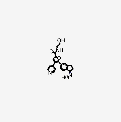 O=C(NCCO)c1cc(-c2ccncc2)c(-c2ccc3c(c2)CC/C3=N/O)o1